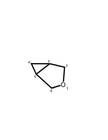 [CH]1OCC2CC12